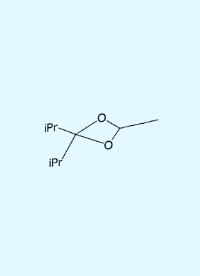 CC1OC(C(C)C)(C(C)C)O1